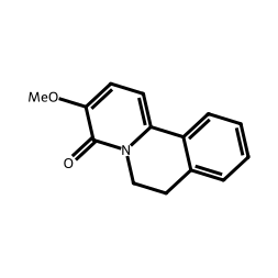 COc1ccc2n(c1=O)CCc1ccccc1-2